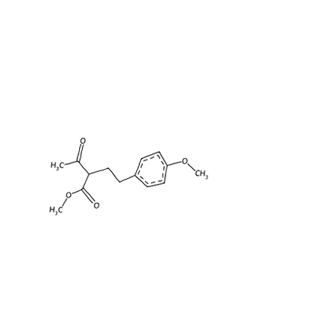 COC(=O)C(CCc1ccc(OC)cc1)C(C)=O